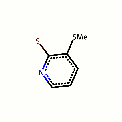 CSc1cccnc1[S]